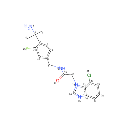 CC(C)(N)c1ccc(CNC(=O)Cn2cnc3cccc(Cl)c32)cc1F